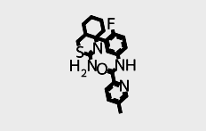 Cc1ccc(C(=O)Nc2ccc(F)c(C34CCCCC3CSC(N)=N4)c2)nc1